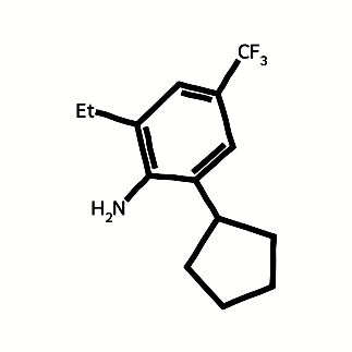 CCc1cc(C(F)(F)F)cc(C2CCCC2)c1N